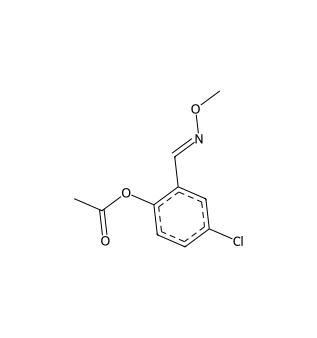 CON=Cc1cc(Cl)ccc1OC(C)=O